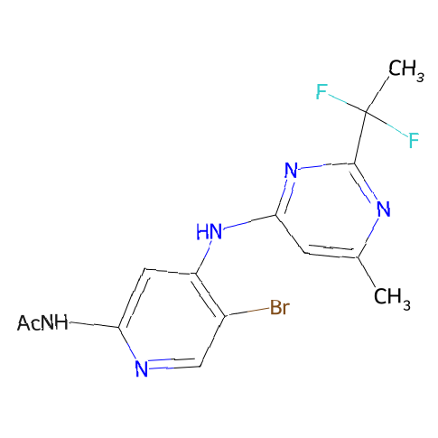 CC(=O)Nc1cc(Nc2cc(C)nc(C(C)(F)F)n2)c(Br)cn1